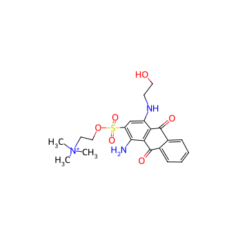 C[N+](C)(C)CCOS(=O)(=O)c1cc(NCCO)c2c(c1N)C(=O)c1ccccc1C2=O